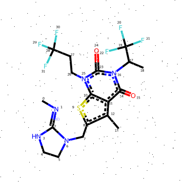 C/N=C1\NCCN1Cc1sc2c(c1C)c(=O)n(C(C)C(F)(F)F)c(=O)n2CCC(F)(F)F